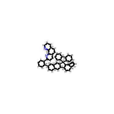 c1ccc(-c2ccc3ccc4cccnc4c3n2)c(-c2ccc3cc4c(cc3c2)C2(c3ccccc3-c3ccccc32)c2c-4ccc3ccccc23)c1